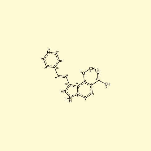 COc1c(C(=O)O)ccc2[nH]nc(C=Cc3ccncc3)c12